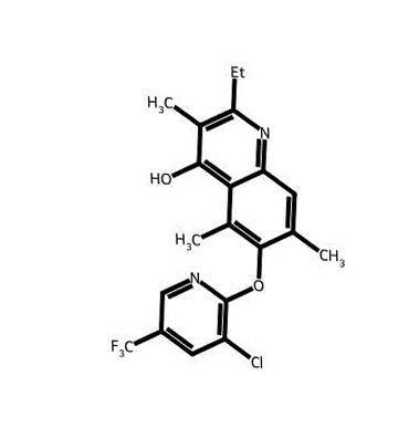 CCc1nc2cc(C)c(Oc3ncc(C(F)(F)F)cc3Cl)c(C)c2c(O)c1C